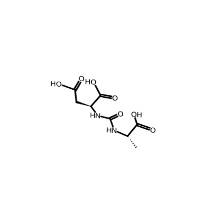 C[C@H](NC(=O)N[C@@H](CC(=O)O)C(=O)O)C(=O)O